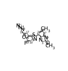 COc1cnc2c(-c3nc4cc(F)c5c(c4s3)CC(CN=[N+]=[N-])O5)cc(C)cc2n1